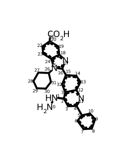 NNc1cc(-c2ccccc2)nc2ccc(-c3nc4cc(C(=O)O)ccc4n3C3CCCCC3)cc12